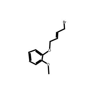 COc1c[c]ccc1OC/C=C/CBr